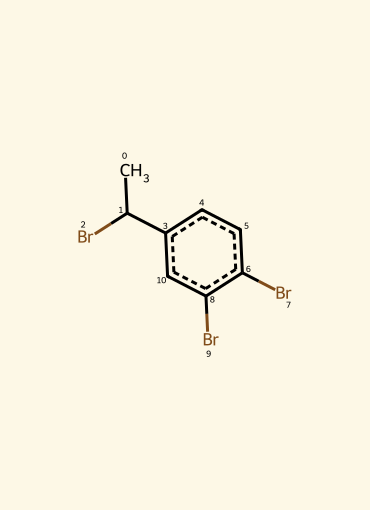 CC(Br)c1ccc(Br)c(Br)c1